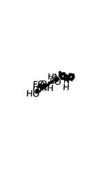 Cc1cc2c(cc1NC(=O)OCCCC(=O)N[C@@H](CC(=O)O)C(=O)CF)[nH]c1ccccc12